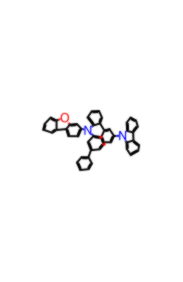 c1ccc(-c2cccc(N(c3ccc4c(c3)oc3ccccc34)c3ccccc3-c3cccc(-n4c5ccccc5c5ccccc54)c3)c2)cc1